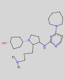 CCN(CC)CCCC1C(Nc2nccc(N3CCCCCC3)n2)CCN1[C@H]1CC[C@@H](O)CC1